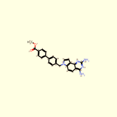 COC(=O)c1ccc(-c2ccc(Cn3ccc4c5nc(N)nc(N)c5ccc43)cc2)cc1